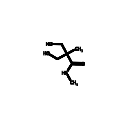 CNC(=O)C(C)(CO)CO